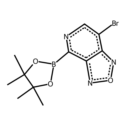 CC1(C)OB(c2ncc(Br)c3nonc23)OC1(C)C